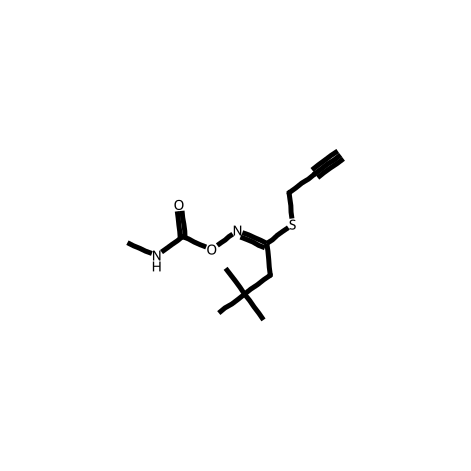 C#CCSC(CC(C)(C)C)=NOC(=O)NC